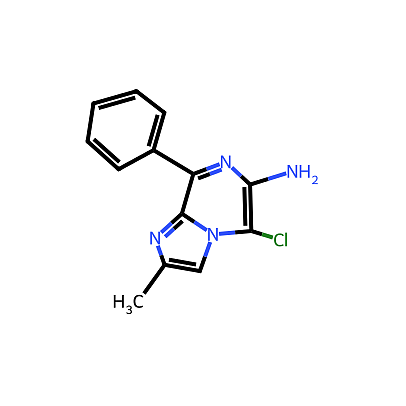 Cc1cn2c(Cl)c(N)nc(-c3ccccc3)c2n1